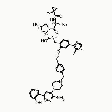 Cc1ncsc1-c1ccc(CNC(O)[C@@H]2C[C@@H](O)CN2C(=O)[C@@H](NC(=O)C2(F)CC2)C(C)(C)C)c(OCCc2ccc(CN3CCN(c4cc(-c5ccccc5O)nnc4N)CC3)cc2)c1